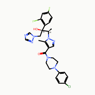 Cc1c(C(=O)N2CCN(c3ccc(Cl)cc3)CC2)cnn1[C@H](C)[C@](O)(Cn1cncn1)c1ccc(F)cc1F